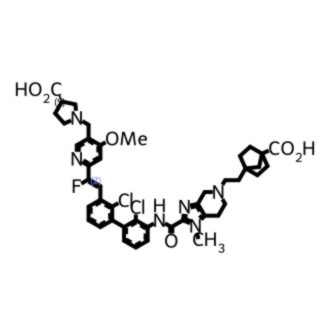 COc1cc(/C(F)=C/c2cccc(-c3cccc(NC(=O)c4nc5c(n4C)CCN(CCC46CCC(C(=O)O)(CC4)C6)C5)c3Cl)c2Cl)ncc1CN1CC[C@H](C(=O)O)C1